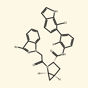 CC(=O)c1nn(CC(=O)N2[C@@H]3C[C@@H]3C[C@H]2C(=O)Nc2cccc(-c3ccc4cc[nH]c4c3Cl)c2F)c2ccccc12